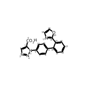 O=C(O)c1cnnn1-c1ccc(-c2ccccc2-c2ncco2)cc1